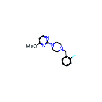 COc1ccnc(N2CCN(Cc3ccccc3F)CC2)n1